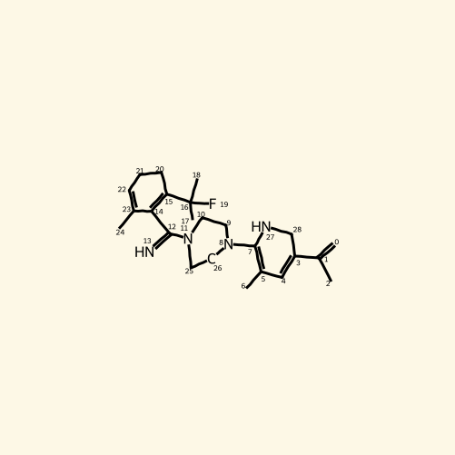 C=C(C)C1=CC(C)=C(N2CCN(C(=N)C3=C(C(C)(C)F)CCC=C3C)CC2)NC1